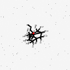 CCCC12C(F)(F)C3(F)C(F)(F)C(F)(C(F)(F)C(F)(C3(F)F)C1(F)F)C2(F)F